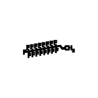 C=CCC(F)(F)C(F)(F)C(F)(F)C(F)(F)C(F)(F)C(F)(F)C(F)(F)C(F)(F)F